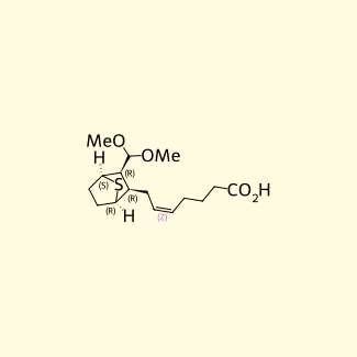 COC(OC)[C@H]1[C@@H](C/C=C\CCCC(=O)O)[C@H]2CC[C@@H]1S2